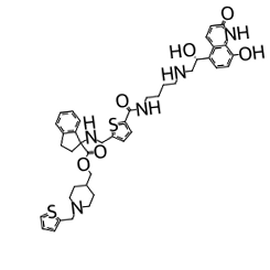 O=C(NCCCCNC[C@H](O)c1ccc(O)c2[nH]c(=O)ccc12)c1ccc(CNC2(C(=O)OCC3CCN(Cc4cccs4)CC3)CCc3ccccc32)s1